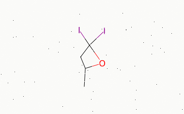 CC1CC(I)(I)O1